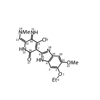 CCOc1cc2[nH]c(C3=C(Cl)C(=N)/C(=C\NC)NC3=O)nc2cc1OC